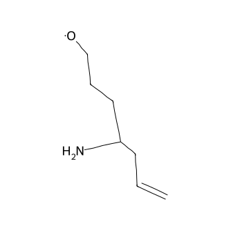 C=CCC(N)CCC[O]